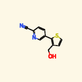 N#Cc1ccc(-c2sccc2CO)cn1